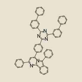 c1ccc(-c2cccc(-c3nc(-c4ccc(-c5cc(-c6ccccc6)nc6c7ccccc7c(-c7ccccc7)n56)cc4)nc(-c4cccc(-c5ccccc5)c4)n3)c2)cc1